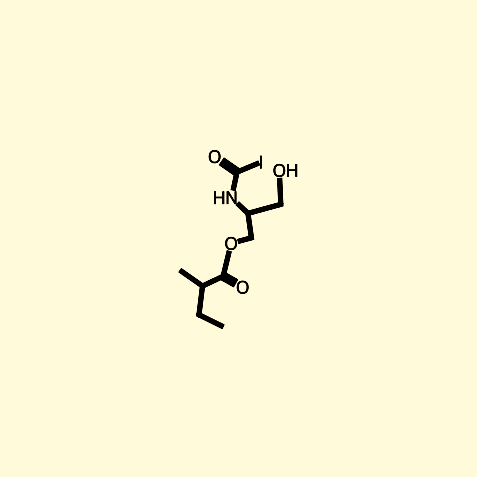 CCC(C)C(=O)OCC(CO)NC(=O)I